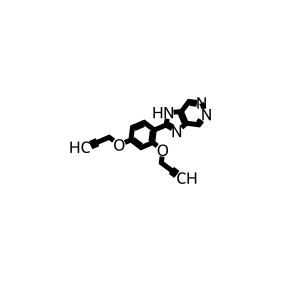 C#CCOc1ccc(-c2nc3cnncc3[nH]2)c(OCC#C)c1